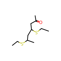 CCSC(C)CC(CC(C)=O)SCC